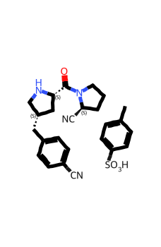 Cc1ccc(S(=O)(=O)O)cc1.N#Cc1ccc(C[C@@H]2CN[C@H](C(=O)N3CCC[C@H]3C#N)C2)cc1